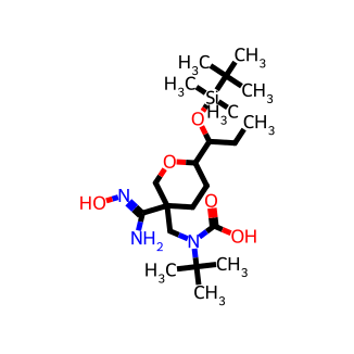 CCC(O[Si](C)(C)C(C)(C)C)C1CCC(CN(C(=O)O)C(C)(C)C)(C(N)=NO)CO1